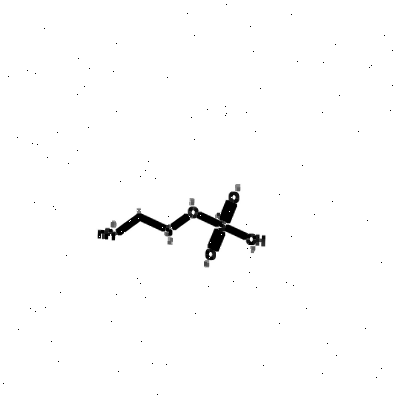 CCCCSOS(=O)(=O)O